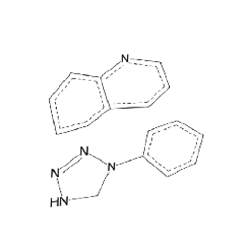 c1ccc(N2CNN=N2)cc1.c1ccc2ncccc2c1